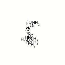 Cc1nn(C)c([C@@H](C)NC(=O)N2CC3(CCn4nc(-c5cnc(N)c(OC(F)F)c5)cc43)C2)c1C